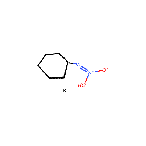 [K].[O-][N+](O)=NC1CCCCC1